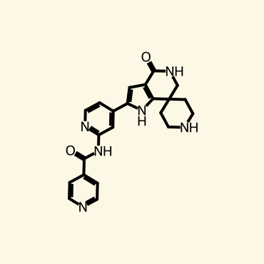 O=C(Nc1cc(-c2cc3c([nH]2)C2(CCNCC2)CNC3=O)ccn1)c1ccncc1